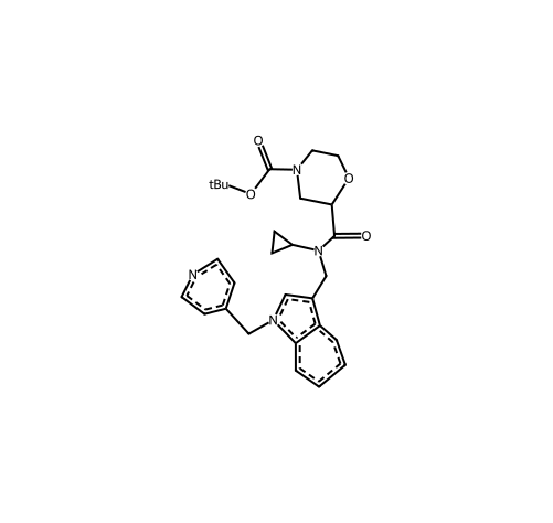 CC(C)(C)OC(=O)N1CCOC(C(=O)N(Cc2cn(Cc3ccncc3)c3ccccc23)C2CC2)C1